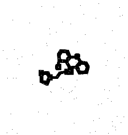 Clc1cccc2c1C(NCCn1ccnc1)c1ccccc1O2